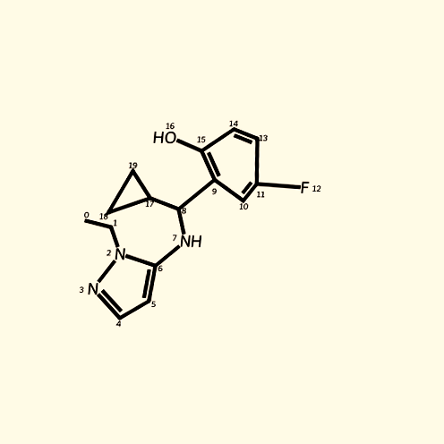 CCn1nccc1NC(c1cc(F)ccc1O)C1CC1